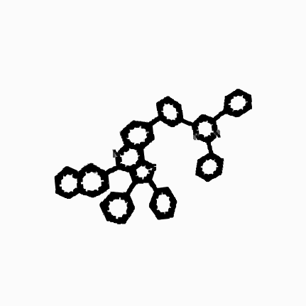 c1ccc(-c2cc(-c3cccc(-c4ccc5nc(-c6ccc7ccccc7c6)c6c(-c7ccccc7)c(-c7ccccc7)sc6c5c4)c3)nc(-c3ccccc3)n2)cc1